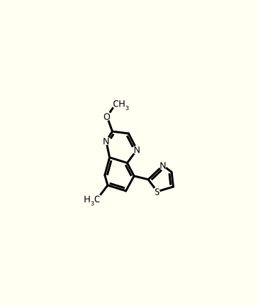 COc1cnc2c(-c3nccs3)cc(C)cc2n1